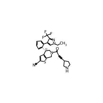 CCn1cc(-c2ccccc2[C@@H]2CN(C(=O)C#CC3CCNC3)Cc3sc(C#N)cc32)c(C(F)(F)F)n1